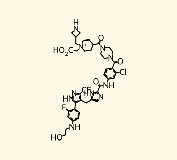 O=C(O)C[N+]1(CC2CNC2)CCC(C(=O)N2CCN(C(=O)c3ccc(NC(=O)c4ncc(Cc5c(C(F)(F)F)n[nH]c5-c5ccc(NCCO)cc5F)[nH]4)cc3Cl)CC2)CC1